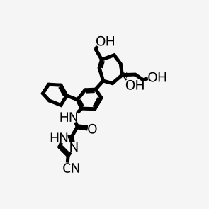 N#Cc1c[nH]c(C(=O)Nc2ccc(C3C=C(CO)CC[C@@](O)(CCO)C3)cc2C2=CCCCC2)n1